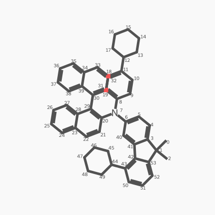 CC1(C)c2ccc(N(c3ccc(C4CCCCC4)cc3)c3ccc4ccccc4c3-c3cccc4ccccc34)cc2-c2c(C3CCCCC3)cccc21